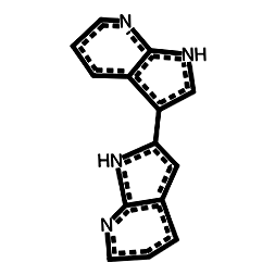 c1cnc2[nH]c(-c3c[nH]c4ncccc34)cc2c1